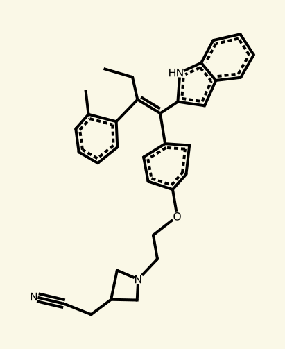 CC/C(=C(/c1ccc(OCCN2CC(CC#N)C2)cc1)c1cc2ccccc2[nH]1)c1ccccc1C